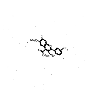 COC(=O)c1c(CBr)c(-c2cccc(C(F)(F)F)c2)nc2cc(Cl)c(OC)cc12